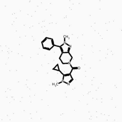 Cn1nc2c(c1-c1ccccc1)CCN(C(=O)c1cnn(C)c1C1CC1)C2